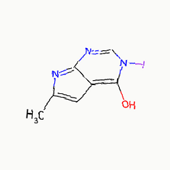 Cc1cc2c(O)n(I)cnc-2n1